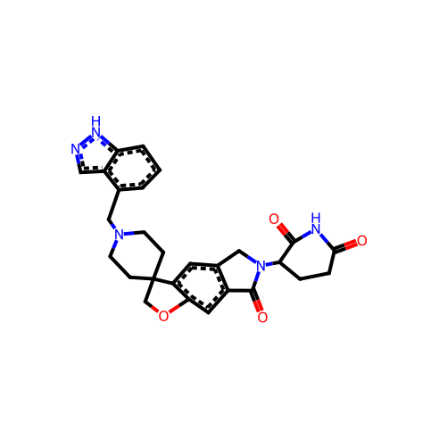 O=C1CCC(N2Cc3cc4c(cc3C2=O)OCC42CCN(Cc3cccc4[nH]ncc34)CC2)C(=O)N1